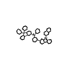 c1ccc(N(c2cccc(-c3ccc4c5ccccc5n(-c5ccc6ccccc6c5)c4c3)c2)c2ccc3c(c2)-c2ccccc2C3(c2ccccc2)c2ccccc2)cc1